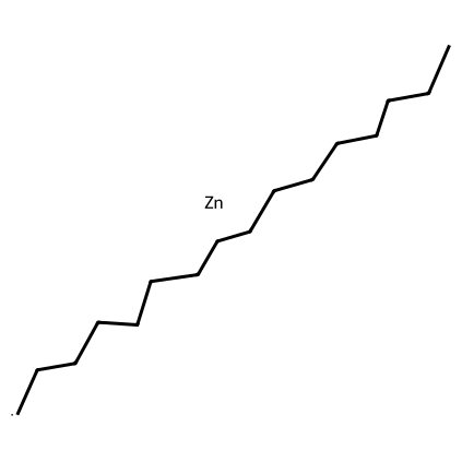 [CH2]CCCCCCCCCCCCCCC.[Zn]